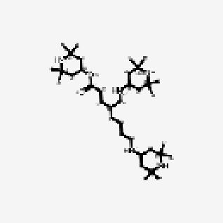 CC1(C)CC(NCCCCC(CCC(=O)OC2CC(C)(C)NC(C)(C)C2)CNC2CC(C)(C)NC(C)(C)C2)CC(C)(C)N1